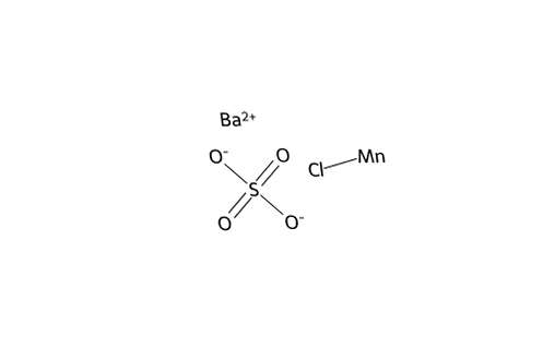 O=S(=O)([O-])[O-].[Ba+2].[Cl][Mn]